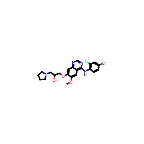 COc1cc2c(Nc3ccc(Br)cc3F)ncnc2cc1OCC(O)CN1CCCC1